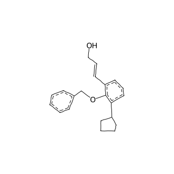 OCC=Cc1cccc(C2CCCC2)c1OCc1ccccc1